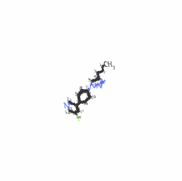 CCCCc1cn(-c2ccc(-c3cncc(F)c3)cc2)nn1